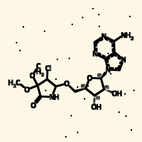 COC1(OC)C(=O)NC(OC[C@H]2O[C@@H](n3cnc4c(N)ncnc43)[C@H](O)[C@@H]2O)C1Cl